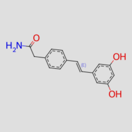 NC(=O)Cc1ccc(/C=C/c2cc(O)cc(O)c2)cc1